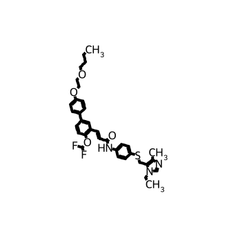 CCCCOCCOc1ccc(-c2ccc(OC(F)F)c(/C=C/C(=O)Nc3ccc(SCc4c(C)ncn4CC)cc3)c2)cc1